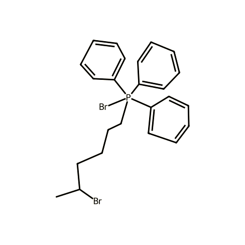 CC(Br)CCCCP(Br)(c1ccccc1)(c1ccccc1)c1ccccc1